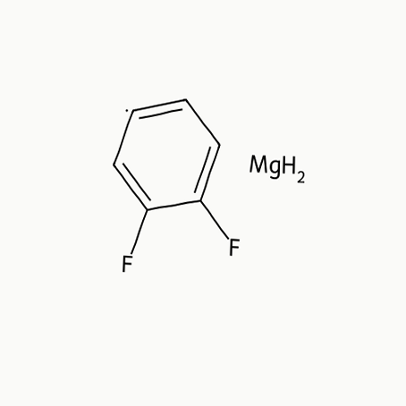 Fc1c[c]ccc1F.[MgH2]